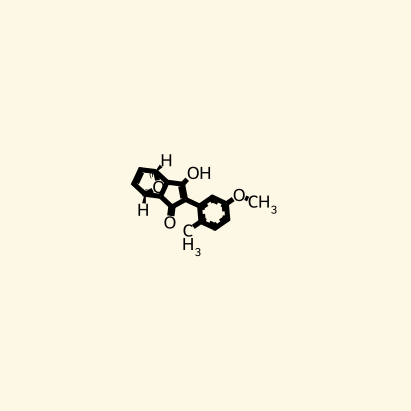 COc1ccc(C)c(C2=C(O)C3C(C2=O)[C@@H]2C=C[C@H]3O2)c1